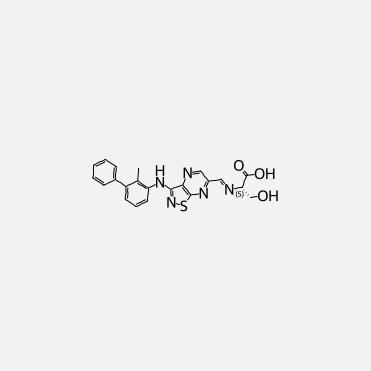 Cc1c(Nc2nsc3nc(C=N[C@@H](CO)C(=O)O)cnc23)cccc1-c1ccccc1